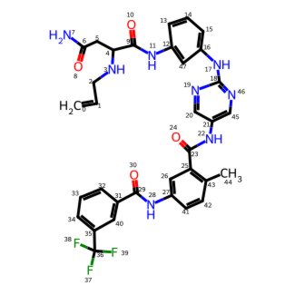 C=CCNC(CC(N)=O)C(=O)Nc1cccc(Nc2ncc(NC(=O)c3cc(NC(=O)c4cccc(C(F)(F)F)c4)ccc3C)cn2)c1